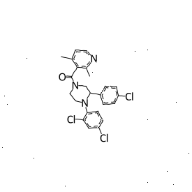 Cc1ccnc(C)c1C(=O)N1CCN(c2ccc(Cl)cc2Cl)C(c2ccc(Cl)cc2)C1